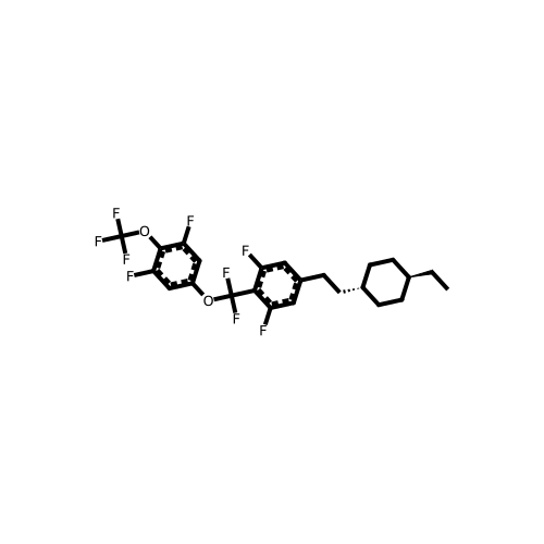 CC[C@H]1CC[C@H](CCc2cc(F)c(C(F)(F)Oc3cc(F)c(OC(F)(F)F)c(F)c3)c(F)c2)CC1